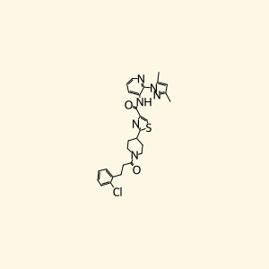 Cc1cc(C)n(-c2ncccc2NC(=O)c2csc(C3CCN(C(=O)CCc4ccccc4Cl)CC3)n2)n1